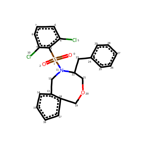 O=S(=O)(c1c(Cl)cccc1Cl)N1Cc2ccccc2COCC1Cc1ccccc1